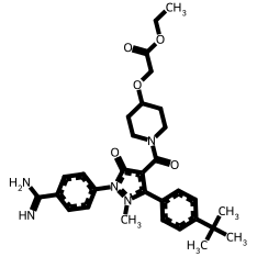 CCOC(=O)COC1CCN(C(=O)c2c(-c3ccc(C(C)(C)C)cc3)n(C)n(-c3ccc(C(=N)N)cc3)c2=O)CC1